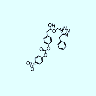 O=C(Oc1ccc(CC(O)OCn2nnnc2Cc2ccccc2)cc1)Oc1ccc([N+](=O)[O-])cc1